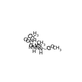 COc1ccc(CCNc2nc(C)nc(Nc3ncc(C(=O)Nc4c(C)cccc4Cl)s3)n2)cc1